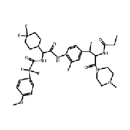 CCC(=O)NC(C(=O)N1CCN(C)CC1)C(C)c1ccc(NC(=O)C(NC(=O)C(F)(F)c2ccc(OC)cc2)C2CCC(F)(F)CC2)c(F)c1